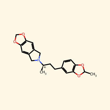 CC1Oc2ccc(CC[C@@H](C)N3Cc4cc5c(cc4C3)OCO5)cc2O1